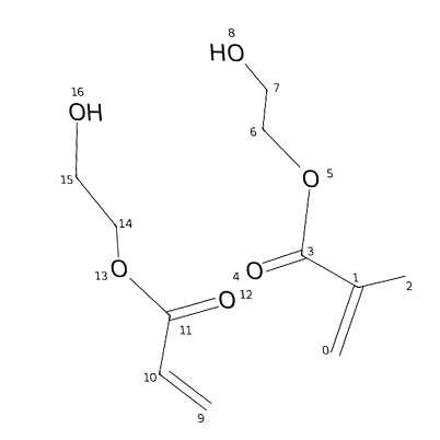 C=C(C)C(=O)OCCO.C=CC(=O)OCCO